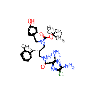 Cc1ccccc1C[C@@H](CNC(=O)c1nc(Cl)c(N)nc1N)CN(Cc1ccc(O)cc1)C(=O)OC(C)(C)C